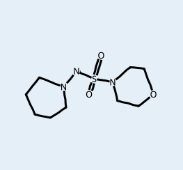 O=S(=O)([N]N1CCCCC1)N1CCOCC1